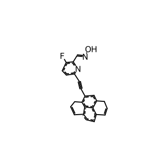 ON=Cc1nc(C#Cc2cc3c4c(ccc5c4c2CC=C5)C=CC3)ccc1F